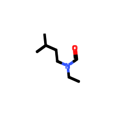 CCN(C=O)CCC(C)C